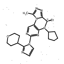 CC[C@@H]1c2nnc(C)n2-c2cnc(-n3ccnc3C3CCOCC3)nc2N1C1CCCC1